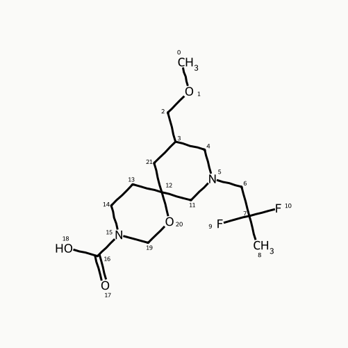 COCC1CN(CC(C)(F)F)CC2(CCN(C(=O)O)CO2)C1